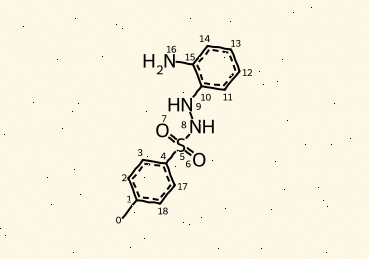 Cc1ccc(S(=O)(=O)NNc2ccccc2N)cc1